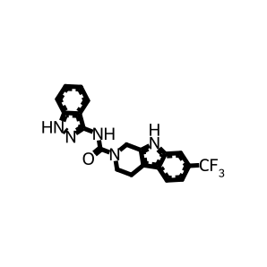 O=C(Nc1n[nH]c2ccccc12)N1CCc2c([nH]c3cc(C(F)(F)F)ccc23)C1